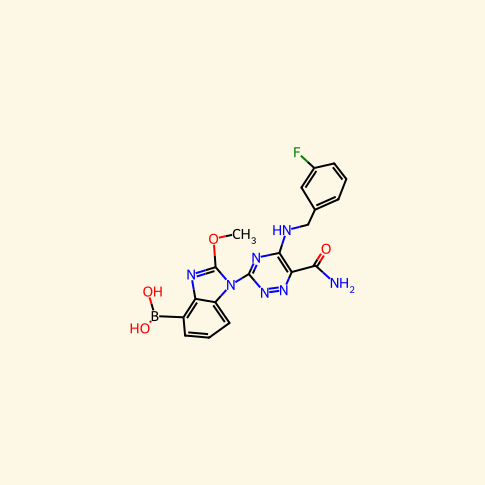 COc1nc2c(B(O)O)cccc2n1-c1nnc(C(N)=O)c(NCc2cccc(F)c2)n1